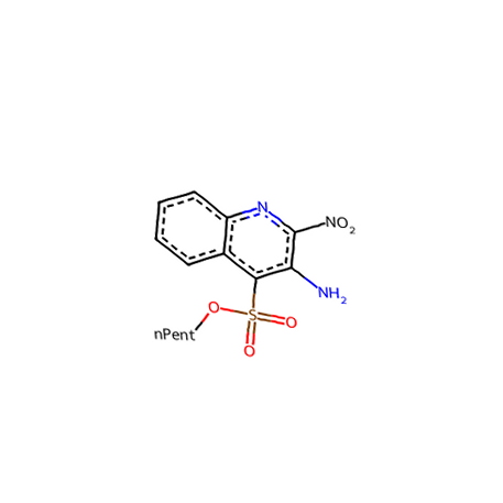 CCCCCOS(=O)(=O)c1c(N)c([N+](=O)[O-])nc2ccccc12